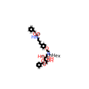 CCCCCCN(CCOc1ccc(CCCCNC(=O)OCc2ccccc2)cc1)C[C@H](O)[C@@H](O)[C@@H]1OC(c2ccccc2)OC[C@H]1O